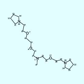 CN(CCOCCOCCN1CCCC1)CCOCCN1CCCC1